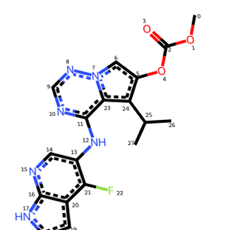 COC(=O)Oc1cn2ncnc(Nc3cnc4[nH]ccc4c3F)c2c1C(C)C